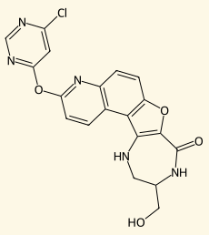 O=C1NC(CO)CNc2c1oc1ccc3nc(Oc4cc(Cl)ncn4)ccc3c21